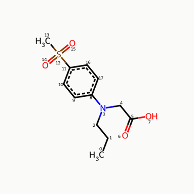 CCCN(CC(=O)O)c1ccc(S(C)(=O)=O)cc1